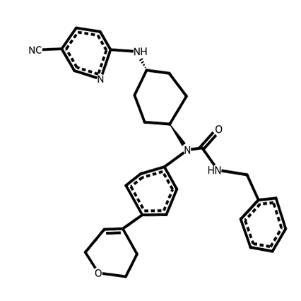 N#Cc1ccc(N[C@H]2CC[C@H](N(C(=O)NCc3ccccc3)c3ccc(C4=CCOCC4)cc3)CC2)nc1